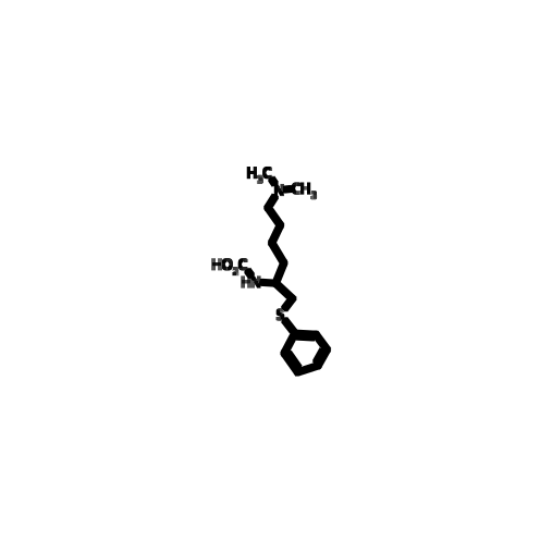 CN(C)CCCCC(CSc1ccccc1)NC(=O)O